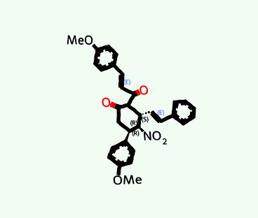 COc1ccc(/C=C/C(=O)C2C(=O)C[C@H](c3ccc(OC)cc3)[C@H]([N+](=O)[O-])[C@H]2/C=C/c2ccccc2)cc1